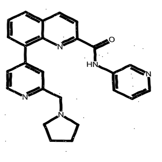 O=C(Nc1cccnc1)c1ccc2cccc(-c3ccnc(CN4CCCC4)c3)c2n1